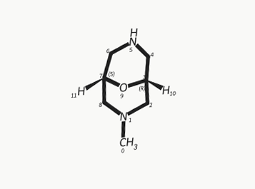 CN1C[C@H]2CNC[C@@H](C1)O2